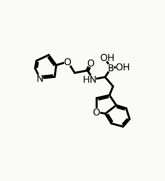 O=C(COc1cccnc1)NC(Cc1coc2ccccc12)B(O)O